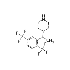 CC(c1cc(C(F)(F)F)ccc1C(F)(F)F)N1CCNCC1